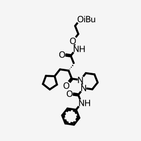 CC(C)COCCONC(=O)C[C@@H](CC1CCCC1)C(=O)N1CCCCN1C(=O)Nc1ccccc1